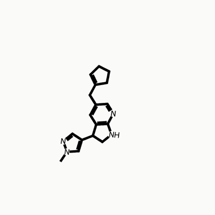 Cn1cc(C2CNc3ncc(CC4=CCCC4)cc32)cn1